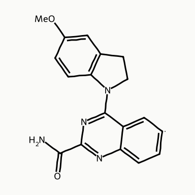 COc1ccc2c(c1)CCN2c1nc(C(N)=O)nc2cc[c]cc12